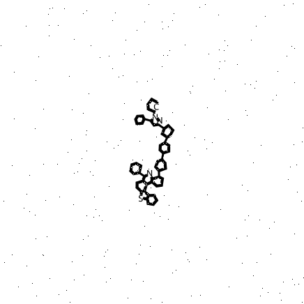 c1ccc(-c2nc3c(-c4ccc(-c5ccc(-c6cccc(-c7cc(-c8ccccc8)n(-c8ccccc8)n7)c6)cc5)cc4)cccc3c3c2ccc2sc4ccccc4c23)cc1